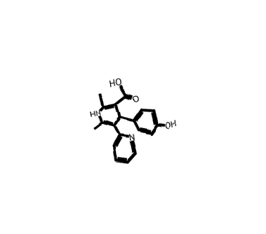 CC1=C(C(=O)O)C(c2ccc(O)cc2)C(c2ccccn2)=C(C)N1